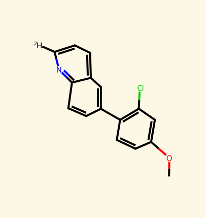 [2H]c1ccc2cc(-c3ccc(OC)cc3Cl)ccc2n1